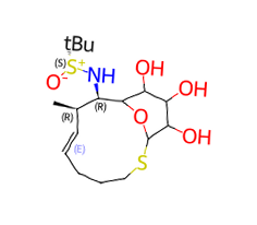 C[C@@H]1/C=C/CCCSC2OC(C(O)C(O)C2O)[C@@H]1N[S@+]([O-])C(C)(C)C